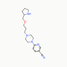 N#Cc1ccc(N2CCN(CCCOCC3CCCN3)CC2)nc1